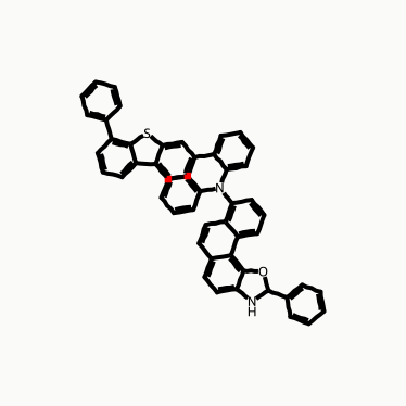 c1ccc(-c2cccc3c2sc2cc(-c4ccccc4N(c4ccccc4)c4cccc5c4ccc4ccc6c(c45)OC(c4ccccc4)N6)ccc23)cc1